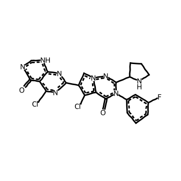 O=c1nc[nH]c2nc(-c3cn4nc(C5CCCN5)n(-c5cccc(F)c5)c(=O)c4c3Cl)nc(Cl)c12